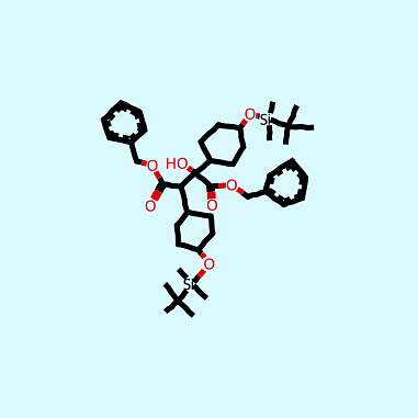 CC(C)(C)[Si](C)(C)OC1CCC(C(C(=O)OCc2ccccc2)C(O)(C(=O)OCc2ccccc2)C2CCC(O[Si](C)(C)C(C)(C)C)CC2)CC1